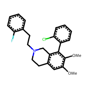 COc1cc2c(c(-c3ccccc3Cl)c1OC)CN(CCc1ccccc1F)CC2